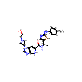 C[C@@H](NC(=O)c1cc2c(cn1)ncn2C1CN(CCO)C1)c1cnc(NC2=CCC(C(F)(F)F)C=C2)s1